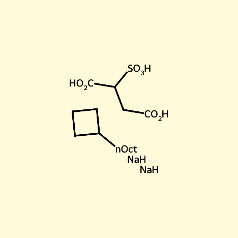 CCCCCCCCC1CCC1.O=C(O)CC(C(=O)O)S(=O)(=O)O.[NaH].[NaH]